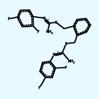 N/C(=N\c1ccc(F)cc1F)SCc1ccccc1CS/C(N)=N/c1ccc(F)cc1F